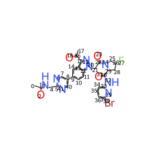 CC(=O)NCc1ncc(-c2ccc3c(c2)c(C(C)=O)nn3CC(=O)N2C[C@H](F)C[C@H]2C(=O)Nc2cccc(Br)n2)cn1